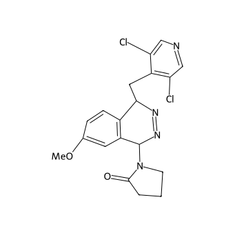 COc1ccc2c(c1)C(N1CCCC1=O)N=NC2Cc1c(Cl)cncc1Cl